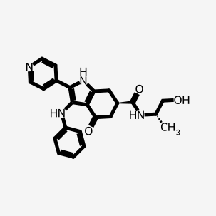 C[C@@H](CO)NC(=O)[C@H]1CC(=O)c2c([nH]c(-c3ccncc3)c2Nc2ccccc2)C1